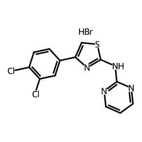 Br.Clc1ccc(-c2csc(Nc3ncccn3)n2)cc1Cl